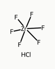 Cl.[F][Zr]([F])([F])([F])([F])[F]